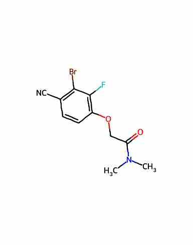 CN(C)C(=O)COc1ccc(C#N)c(Br)c1F